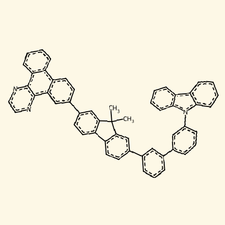 CC1(C)c2cc(-c3cccc(-c4cccc(-n5c6ccccc6c6ccccc65)c4)c3)ccc2-c2ccc(-c3ccc4c5ccccc5c5nccnc5c4c3)cc21